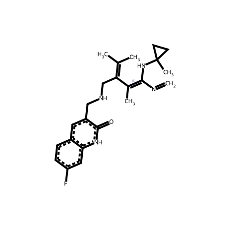 C=N/C(NC1(C)CC1)=C(\C)C(CNCc1cc2ccc(F)cc2[nH]c1=O)=C(C)C